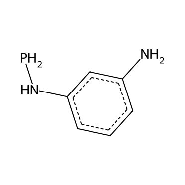 Nc1cccc(NP)c1